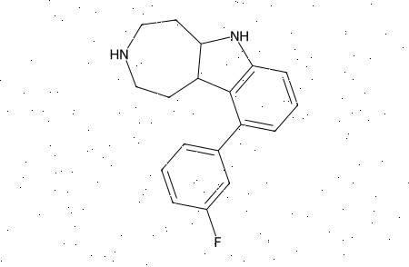 Fc1cccc(-c2cccc3c2C2CCNCCC2N3)c1